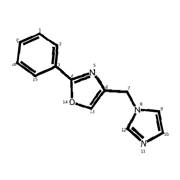 [c]1ccc(-c2nc(Cn3ccnc3)co2)cc1